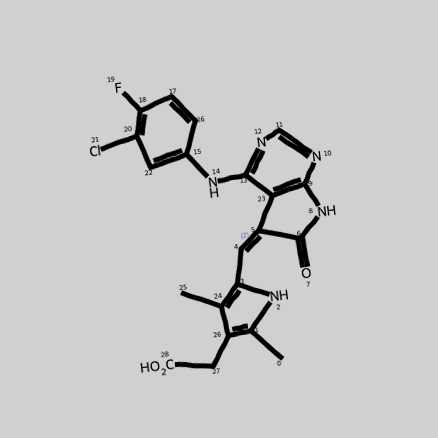 Cc1[nH]c(/C=C2\C(=O)Nc3ncnc(Nc4ccc(F)c(Cl)c4)c32)c(C)c1CC(=O)O